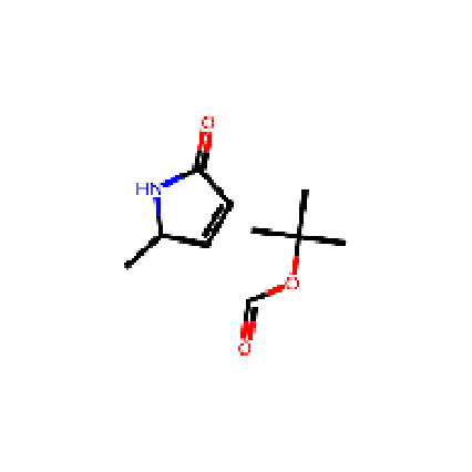 CC(C)(C)OC=O.CC1C=CC(=O)N1